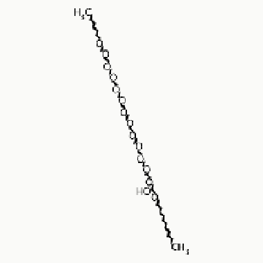 CCCCCCCCCCCCCOCC(O)COCCOCCOCCOCCOCCOCCOCCOCCOCCOCCOCCOCCOCCCCCCCC